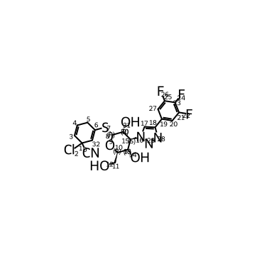 N#CC1(Cl)C=CCC(S[C@H]2O[C@H](CO)[C@H](O)[C@H](n3cc(-c4cc(F)c(F)c(F)c4)nn3)[C@H]2O)=C1